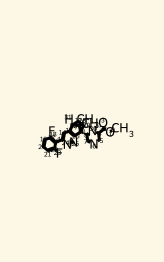 COC(=O)C1CN=CC([C@@]23CC[C@@H](c4cc(-c5c(F)cccc5F)nnc42)C3(C)C)=N1